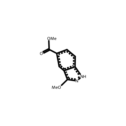 COC(=O)c1ccc2[nH]nc(OC)c2c1